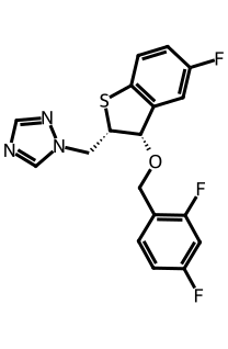 Fc1ccc(CO[C@H]2c3cc(F)ccc3S[C@H]2Cn2cncn2)c(F)c1